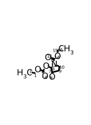 CCOC(=O)OC1C(=O)CCN1C(=O)OCC